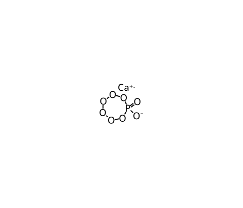 O=P1([O-])OOOOOO1.[Ca+]